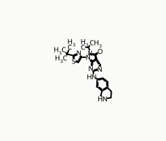 CC(C)n1c(=O)c2cnc(Nc3ccc4c(c3)CNCC4)nc2n1-c1csc(C(C)(C)C)n1